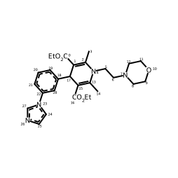 CCOC(=O)C1=C(C)N(CCN2CCOCC2)C(C)=C(C(=O)OCC)C1c1cccc(-n2ccnc2)c1